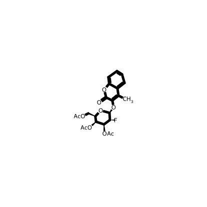 CC(=O)OC[C@H]1O[C@@H](Oc2c(C)c3ccccc3oc2=O)[C@H](F)[C@@H](OC(C)=O)[C@H]1OC(C)=O